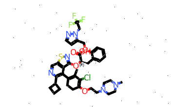 CC1=C(c2c(C3CCC3)ncc3snc(O[C@H](Cc4ccccc4OCc4ccnn4CC(F)(F)F)C(=O)O)c23)CCC(OCCN2CCN(C)CC2)=C1Cl